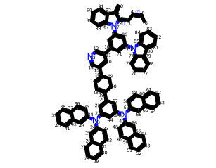 C=c1/c(=C\C=C/C)n(-c2cc(-c3cncc(C4=CC=C(c5cc(N(C6=CC7C=CC=CC7C=C6)c6ccc7ccccc7c6)cc(N(c6ccc7ccccc7c6)c6ccc7ccccc7c6)c5)CC4)c3)cc(-n3c4ccccc4c4ccccc43)c2)c2ccccc12